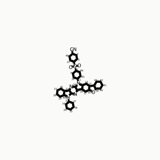 N#Cc1ccc(S(=O)(=O)c2ccc(-n3c4cc5c(cc4c4nc6c(nc43)c3ccccc3n6-c3ccccc3)oc3ccccc35)cc2)cc1